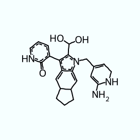 NC1=CC(Cn2c(C(O)O)c(-c3ccc[nH]c3=O)c3c2=CC2CCCC2C=3)=CCN1